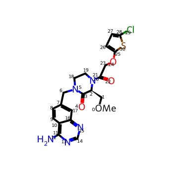 COC[C@H]1C(=O)N(Cc2ccc3c(N)ncnc3c2)CCN1C(=O)COc1ccc(Cl)s1